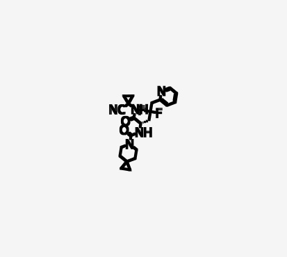 N#CC1(NC(=O)[C@H](CC(F)(F)Cc2ccccn2)NC(=O)N2CCC3(CC2)CC3)CC1